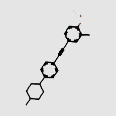 Cc1cc(C#Cc2ccc(C3CCC(C)CC3)cc2)ccc1SC#N